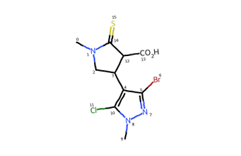 CN1CC(c2c(Br)nn(C)c2Cl)C(C(=O)O)C1=S